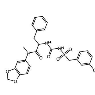 CN(C(=O)C(Cc1ccccc1)NC(=O)NS(=O)(=O)Cc1cccc(Cl)c1)c1ccc2c(c1)OCO2